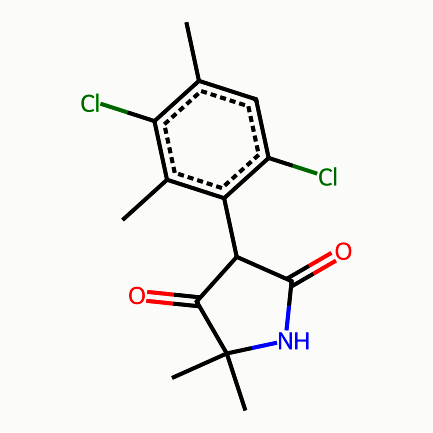 Cc1cc(Cl)c(C2C(=O)NC(C)(C)C2=O)c(C)c1Cl